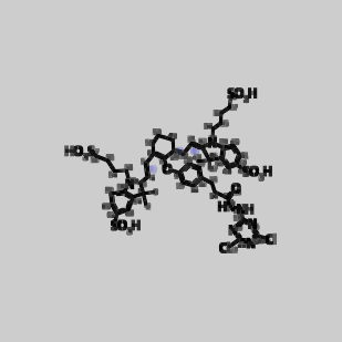 CC1(C)C(/C=C/C2=C(Oc3ccc(CCC(=O)NNc4nc(Cl)nc(Cl)n4)cc3)C(=C/C=C3/N(CCCCS(=O)(=O)O)c4ccc(S(=O)(=O)O)cc4C3(C)C)/CCC2)=[N+](CCCCS(=O)(=O)O)c2ccc(S(=O)(=O)O)cc21